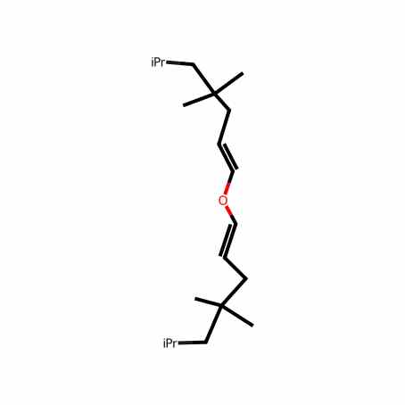 CC(C)CC(C)(C)CC=COC=CCC(C)(C)CC(C)C